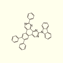 c1ccc(-c2ncc3c4cc(-c5ccccc5)c(-c5ccccc5)cc4c4cnc(-n5c6ccccc6c6ccccc65)nc4c3n2)cc1